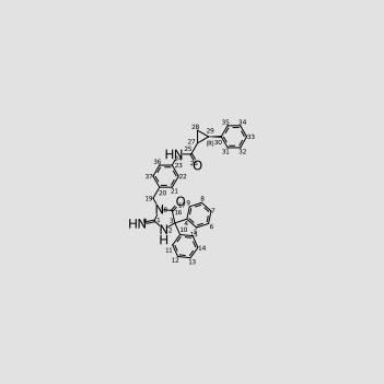 N=C1NC(c2ccccc2)(c2ccccc2)C(=O)N1Cc1ccc(NC(=O)C2C[C@H]2c2ccccc2)cc1